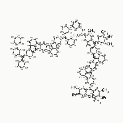 Cc1cc(N(c2cc(C)c(C(C)C)c(C)c2)c2ccc3c(c2)c2cccc4c5cc6c(cc5n3c24)c2cccc3c4cc(N(c5cc(C)c(C(C)C)c(C)c5)c5cc(C)c(C(C)Cc7cccc(-c8cccc(N(c9ccccc9)c9ccc%10c(c9)c9cccc%11c%12cc%13c(cc%12n%10c9%11)c9cccc%10c%11cc(N(c%12ccccc%12)c%12cccc(-c%14ccccc%14)c%12)ccc%11n%13c%109)c8)c7)cc5C)ccc4n6c32)c(C)cc1C(C)C